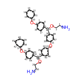 NCCOB(c1ccc(Oc2ccccc2)cc1)c1ccc(Oc2ccc(B(OCCN)c3ccc(Oc4ccccc4)cc3)cc2)cc1